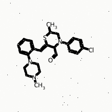 CC1CN(c2ccc(Cl)cc2)C(C=O)C(=Cc2ccccc2N2CCN(C)CC2)S1